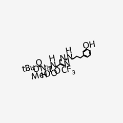 COC(=O)[C@H](CNC(=O)OC(C)(C)C)NC(=O)c1cnc(NCCCc2cccc(O)c2)nc1C(F)(F)F